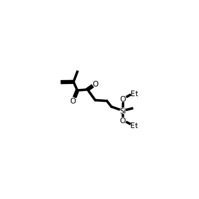 C=C(C)C(=O)C(=O)CCC[Si](C)(OCC)OCC